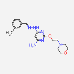 Cc1cccc(C=NNc2cc(N)nc(OCCN3CCOCC3)n2)c1